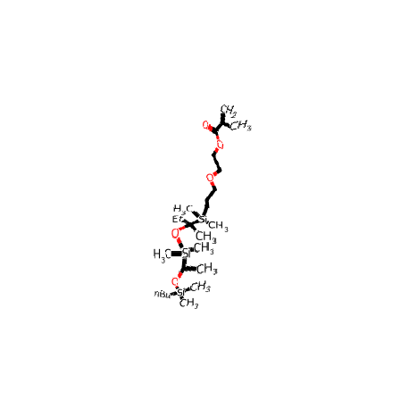 C=C(C)C(=O)OCCOCCC[Si](C)(C)C(C)(CC)O[Si](C)(C)C(C)O[Si](C)(C)CCCC